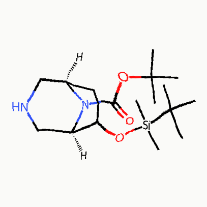 CC(C)(C)OC(=O)N1[C@H]2CNC[C@@H]1C(O[Si](C)(C)C(C)(C)C)C2